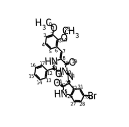 COc1cccc(/C=C(\NC(=O)c2ccccc2)C(=O)N/N=C2\C(=O)Nc3ccc(Br)cc32)c1OC